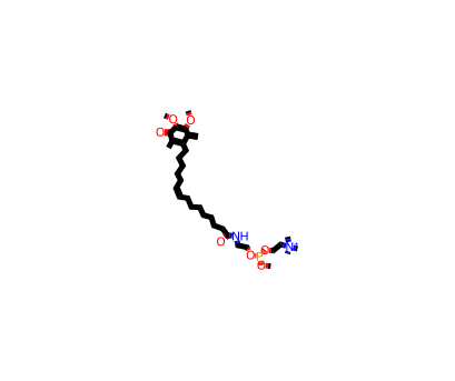 C=C1C(CCCCC/C=C\CCCCCCCC(=O)NCCOP(OC)OCC[N+](C)(C)C)=C(C)C(=O)C(OC)=C1OC